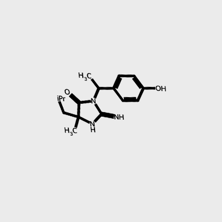 CC(C)CC1(C)NC(=N)N(C(C)c2ccc(O)cc2)C1=O